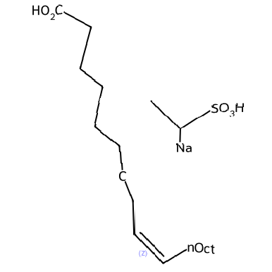 CCCCCCCC/C=C\CCCCCCCC(=O)O.C[CH]([Na])S(=O)(=O)O